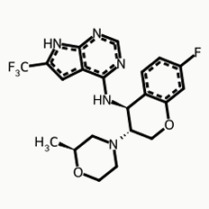 C[C@H]1CN([C@H]2COc3cc(F)ccc3[C@@H]2Nc2ncnc3[nH]c(C(F)(F)F)cc23)CCO1